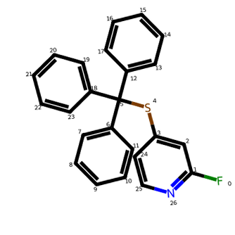 Fc1cc(SC(c2ccccc2)(c2ccccc2)c2ccccc2)ccn1